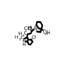 C.Cc1[nH]c2cccc(Cl)c2c1C(C)CC(=O)N1CCC2(O)CCCC1C2